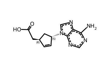 Nc1ncnc2c1ncn2[C@@H]1C=C[C@@H](CC(=O)O)C1